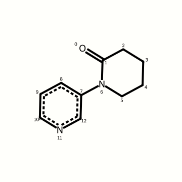 O=C1CCCCN1c1cc[c]nc1